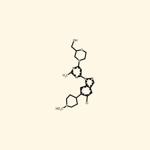 Cc1nc(N2CCOC(CO)C2)cc(-n2ncc3cc(Cl)c(C4CCN(C(=O)O)CC4)cc32)n1